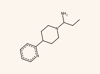 CCC(N)N1CCC(c2ccccn2)CC1